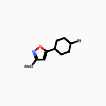 CCC1CCC(c2cc(OC)no2)CC1